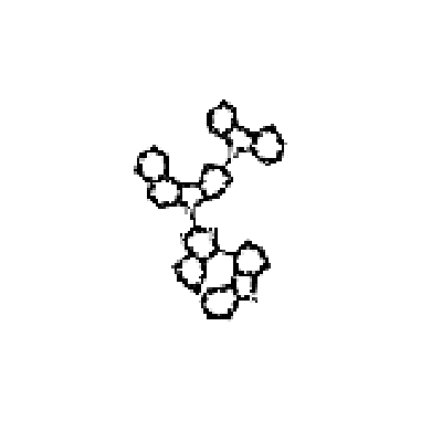 c1ccc2c(c1)ccc1c2c2cc(-n3c4ccccc4c4ccccc43)ccc2n1-c1nc(-c2cccc3sc4ccccc4c23)c2ccccc2n1